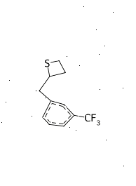 FC(F)(F)c1cccc([CH]C2CCS2)c1